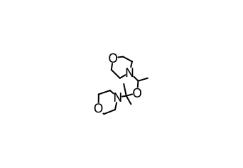 CC(OC(C)(C)N1CCOCC1)N1CCOCC1